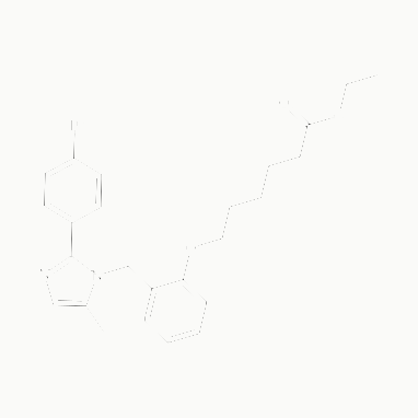 CCOC(=O)CCCCCOc1ccccc1Cn1c(C)cnc1-c1ccc(Br)cc1